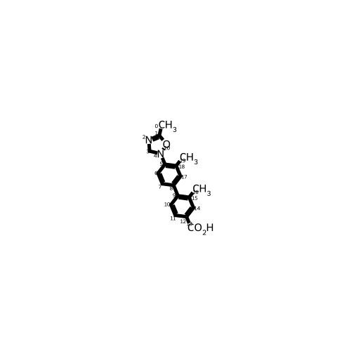 CC1=NCN(c2ccc(-c3ccc(C(=O)O)cc3C)cc2C)O1